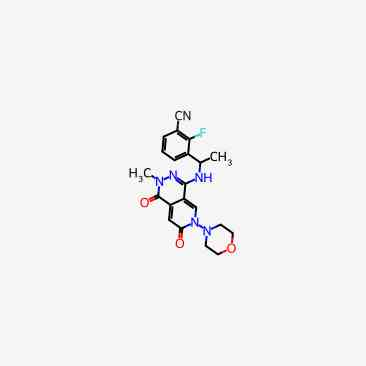 CC(Nc1nn(C)c(=O)c2cc(=O)n(N3CCOCC3)cc12)c1cccc(C#N)c1F